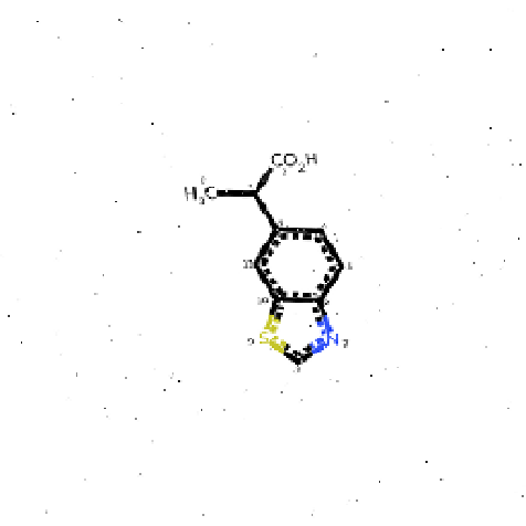 CC(C(=O)O)c1ccc2ncsc2c1